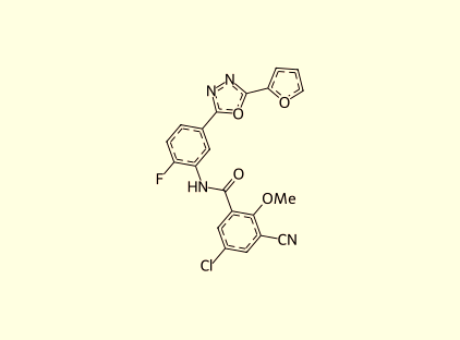 COc1c(C#N)cc(Cl)cc1C(=O)Nc1cc(-c2nnc(-c3ccco3)o2)ccc1F